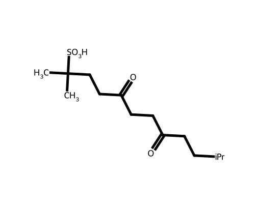 CC(C)CCC(=O)CCC(=O)CCC(C)(C)S(=O)(=O)O